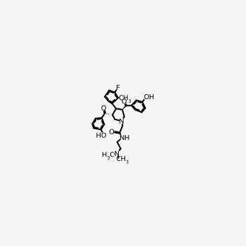 Cc1c(F)cccc1C1[C@@H](C(=O)c2cccc(O)c2)CN(CC(=O)NCCN(C)C)C[C@@H]1C(=O)c1cccc(O)c1